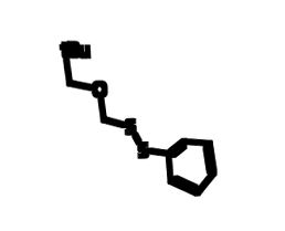 CC(C)(C)COCSSc1ccccc1